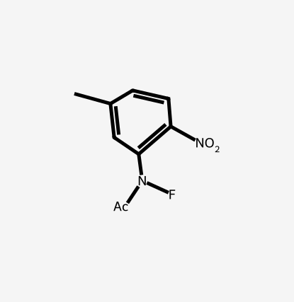 CC(=O)N(F)c1cc(C)ccc1[N+](=O)[O-]